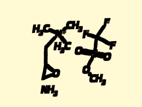 COS(=O)(=O)C(F)(F)F.C[N+](C)(C)CC1CO1.N